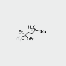 C=C(CC[C@@](C)(CC)CCC)C(C)(C)C